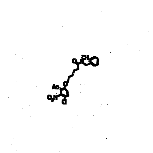 CC(=O)c1c(OCCCCCC(=O)N(C)Cc2ccccc2)ccc(Cl)c1[N+](=O)[O-]